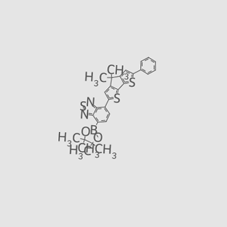 CC1(C)c2cc(-c3ccccc3)sc2-c2sc(-c3ccc(B4OC(C)(C)C(C)(C)O4)c4nsnc34)cc21